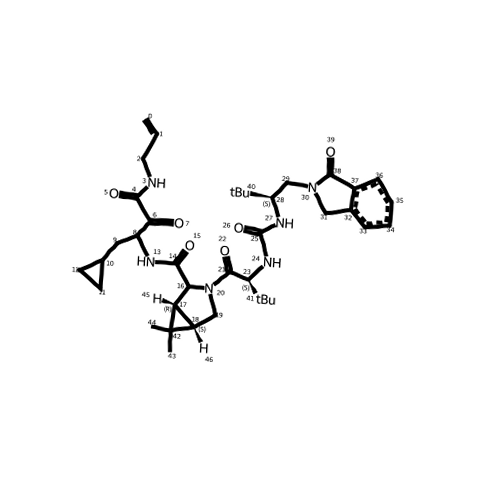 C=CCNC(=O)C(=O)C(CC1CC1)NC(=O)C1[C@@H]2[C@H](CN1C(=O)[C@@H](NC(=O)N[C@H](CN1Cc3ccccc3C1=O)C(C)(C)C)C(C)(C)C)C2(C)C